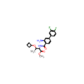 COC(=O)[C@@H](NC(=O)c1ccc(-c2ccc(F)c(F)c2)cc1N)C(C)OC1CCC1